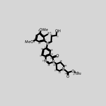 COc1cc(OC)c(F)c(N(CCCO)c2ccc3ncn(C4CCN(C(=O)OC(C)(C)C)CC4)c(=O)c3c2)c1